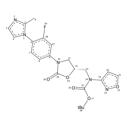 Cc1nccn1-c1ccc(N2C[C@H](CN(C(=O)OC(C)(C)C)c3ccon3)OC2=O)cc1F